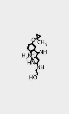 CC1(Oc2ccc(N)c(C(=N)C3=CC(NCCO)NN3)c2)CC1